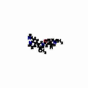 C[C@@H]1C[C@H](c2ccc(C3=NC3)c3ncccc23)CN(C(=O)C[C@@H]2[C@H]3CN(C)C[C@@H]23)C1